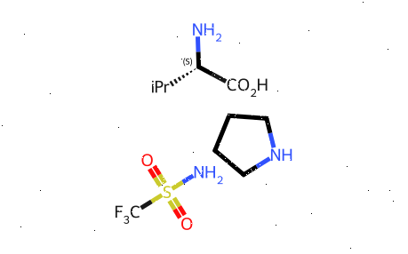 C1CCNC1.CC(C)[C@H](N)C(=O)O.NS(=O)(=O)C(F)(F)F